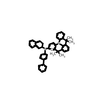 CC1(C)c2ccccc2N2c3ccc(N(c4ccc(-c5ccccc5)cc4)C4C=c5ccccc5=CC4)cc3C(C)(C)c3cccc1c32